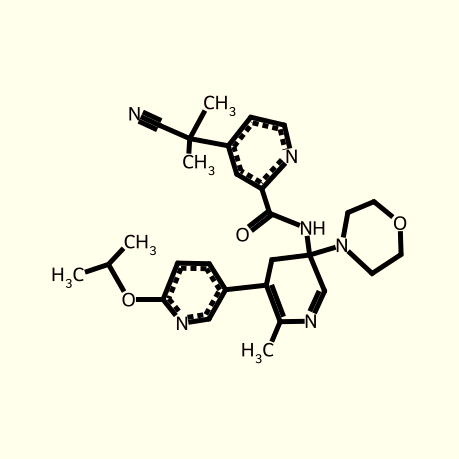 CC1=C(c2ccc(OC(C)C)nc2)CC(NC(=O)c2cc(C(C)(C)C#N)ccn2)(N2CCOCC2)C=N1